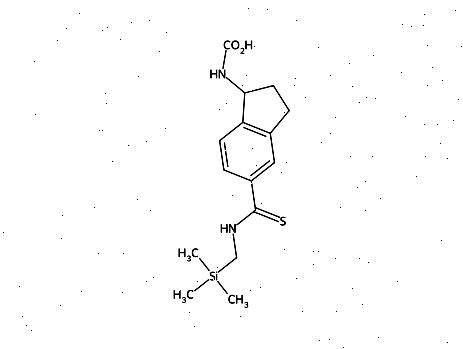 C[Si](C)(C)CNC(=S)c1ccc2c(c1)CCC2NC(=O)O